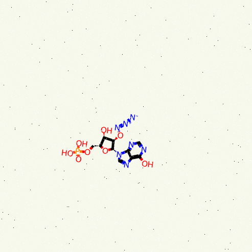 [N-]=[N+]=NO[C@@H]1[C@@H](O)[C@@H](COP(=O)(O)O)O[C@H]1n1cnc2c(O)ncnc21